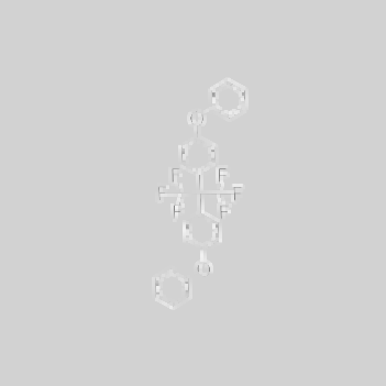 FC(F)(F)C(c1ccc(Oc2ccccc2)cc1)(c1ccc(Oc2ccccc2)cc1)C(F)(F)F